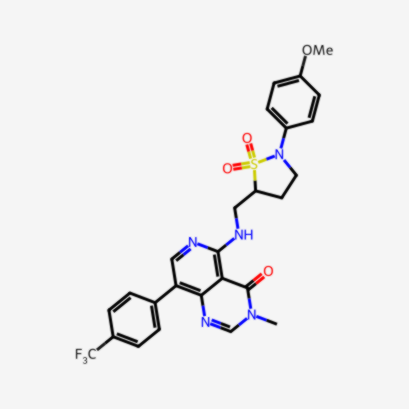 COc1ccc(N2CCC(CNc3ncc(-c4ccc(C(F)(F)F)cc4)c4ncn(C)c(=O)c34)S2(=O)=O)cc1